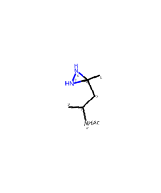 CC(=O)NC(C)CC1(C)NN1